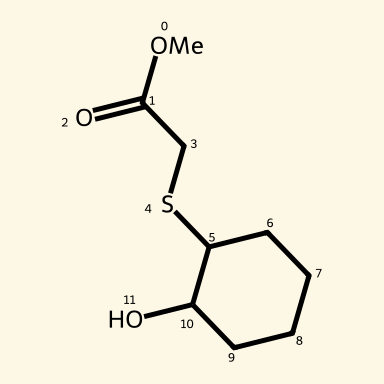 COC(=O)CSC1CCCCC1O